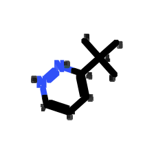 CC(C)(C)c1c[c]cnn1